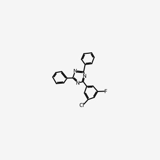 Fc1cc(Cl)cc(-c2nc(-c3ccccc3)nc(-c3ccccc3)n2)c1